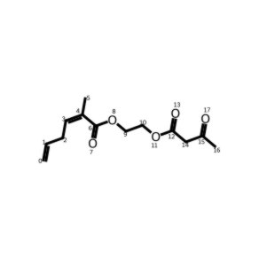 C=CCC=C(C)C(=O)OCCOC(=O)CC(C)=O